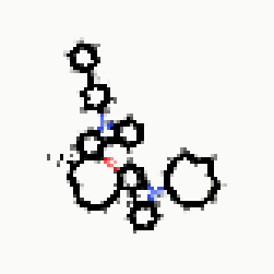 CC1/C=C/C=C\C=C/c2c(ccc3c2c2ccccc2n3C2=C/C=C\C=C/C=C/C=C/C=C\2)Oc2c1ccc1c2c2ccccc2n1-c1ccc(-c2ccccc2)cc1